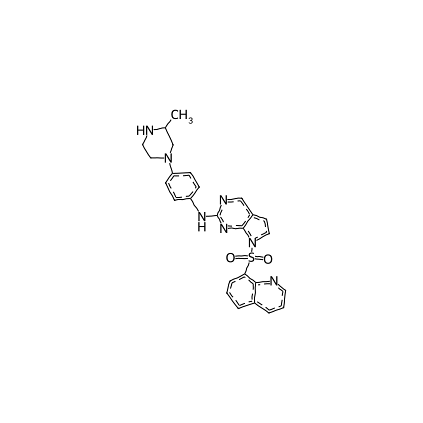 CC1CN(c2ccc(Nc3ncc4ccn(S(=O)(=O)c5cccc6cccnc56)c4n3)cc2)CCN1